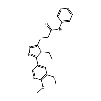 CCn1c(SCC(=O)Nc2ccccc2)nnc1-c1cnc(OC)c(OC)c1